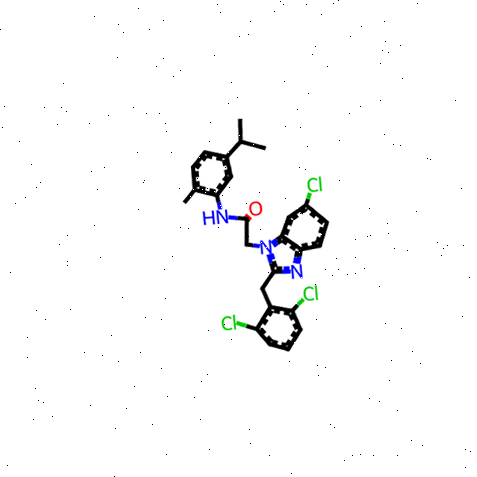 Cc1ccc(C(C)C)cc1NC(=O)Cn1c(Cc2c(Cl)cccc2Cl)nc2ccc(Cl)cc21